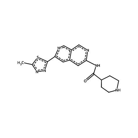 Cc1nnc(-c2cc3cc(NC(=O)C4CCNCC4)ncc3cn2)s1